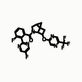 O=C(c1cccc(F)c1-c1ncc(F)cn1)N1CC2CC23CC(Oc2cnc(C(F)(F)F)cn2)C13